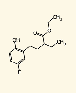 CCOC(=O)C(CC)CCc1cc(F)ccc1O